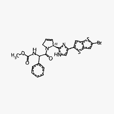 COC(=O)NC(C(=O)N1CC=C[C@H]1c1nc(-c2cc3sc(Br)cc3s2)c[nH]1)c1ccccc1